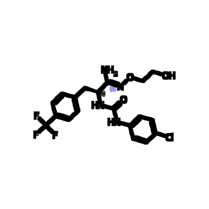 N/C(=N\OCCO)[C@H](Cc1ccc(C(F)(F)F)cc1)NC(=O)Nc1ccc(Cl)cc1